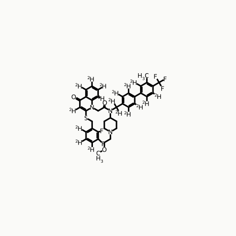 [2H]c1c([2H])c(F)c(F)c(CSc2c([2H])c(=O)c3c([2H])c([2H])c([2H])c([2H])c3n2CC(=O)N(C2CCN(CCOC)CC2)C([2H])([2H])c2c([2H])c([2H])c(-c3c([2H])c([2H])c(C(F)(F)F)c(C)c3[2H])c([2H])c2[2H])c1[2H]